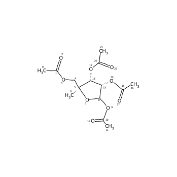 CC(=O)OC[C@]1(C)OC(OC(C)=O)[C@@H](OC(C)=O)[C@H]1OC(C)=O